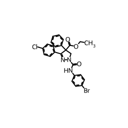 CCOC(=O)C1(c2ccccc2)CN(C(=O)Nc2ccc(Br)cc2)N=C1c1ccc(Cl)cc1